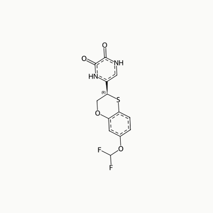 O=c1[nH]cc([C@@H]2COc3cc(OC(F)F)ccc3S2)[nH]c1=O